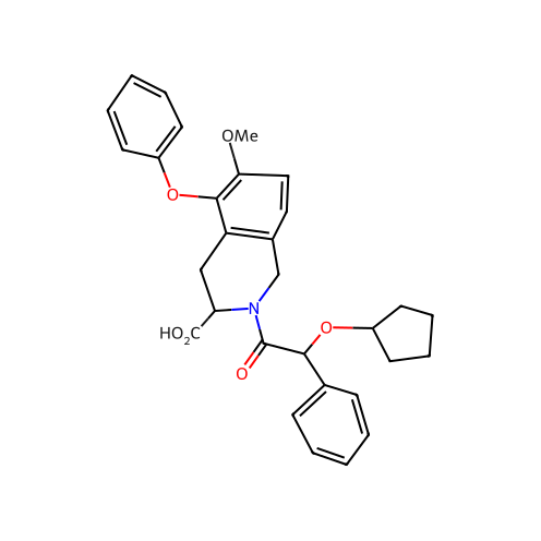 COc1ccc2c(c1Oc1ccccc1)CC(C(=O)O)N(C(=O)C(OC1CCCC1)c1ccccc1)C2